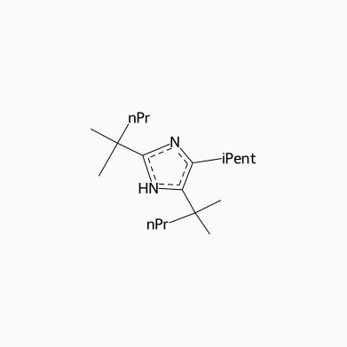 CCCC(C)c1nc(C(C)(C)CCC)[nH]c1C(C)(C)CCC